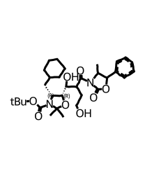 CC1C(c2ccccc2)OC(=O)N1C(=O)C(CCO)C(O)[C@@H]1OC(C)(C)N(C(=O)OC(C)(C)C)[C@@H]1CC1CCCCC1